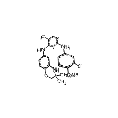 COc1ccc(Nc2ncc(F)c(Nc3ccc4c(c3)NC(C)(C)CO4)n2)cc1Cl